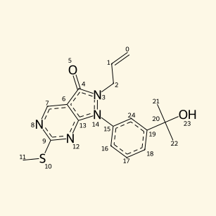 C=CCn1c(=O)c2cnc(SC)nc2n1-c1cccc(C(C)(C)O)c1